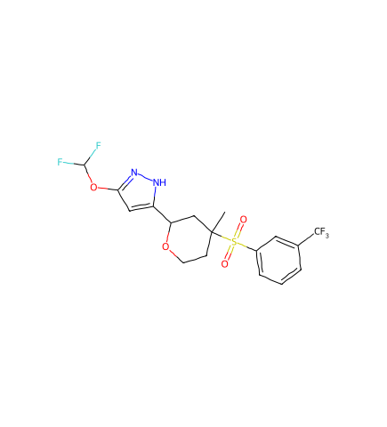 CC1(S(=O)(=O)c2cccc(C(F)(F)F)c2)CCOC(c2cc(OC(F)F)n[nH]2)C1